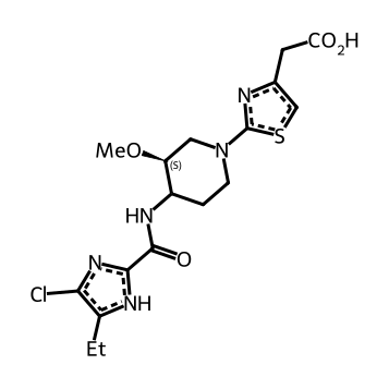 CCc1[nH]c(C(=O)NC2CCN(c3nc(CC(=O)O)cs3)C[C@@H]2OC)nc1Cl